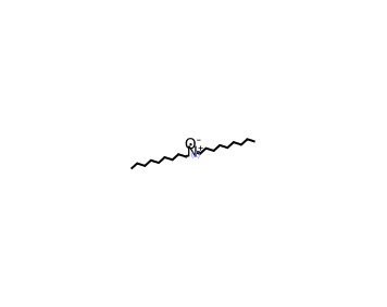 CCCCCCCC/C=[N+](\[O-])CCCCCCCCC